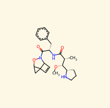 CO[C@@H]([C@@H]1CCCN1)[C@@H](C)C(=O)N[C@@H](Cc1ccccc1)C(=O)N1OC2CC23C=CC13